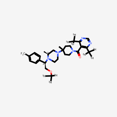 [2H]C([2H])([2H])OC[C@@H](c1ccc(C(F)(F)F)cc1)N1CCN(C2(C)CCN(C(=O)c3c(C([2H])([2H])[2H])ncnc3C([2H])([2H])[2H])CC2)C[C@@H]1C